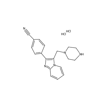 Cl.Cl.N#Cc1ccc(-c2nc3ccccn3c2CN2CCNCC2)cc1